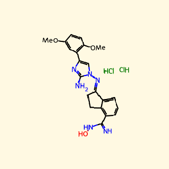 COc1ccc(OC)c(-c2cn(/N=C3\CCc4c(C(=N)NO)cccc43)c(N)n2)c1.Cl.Cl